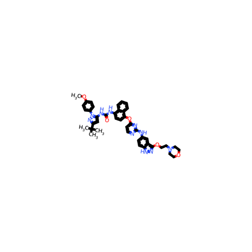 COc1ccc(-n2nc(C(C)(C)C)cc2NC(=O)Nc2ccc(Oc3ccnc(Nc4ccc5[nH]nc(OCCN6CCOCC6)c5c4)n3)c3ccccc23)cc1